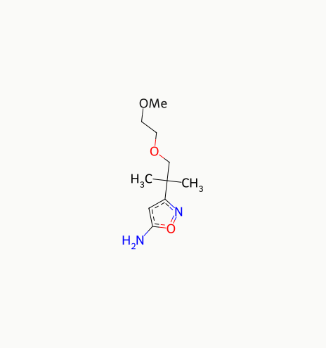 COCCOCC(C)(C)c1cc(N)on1